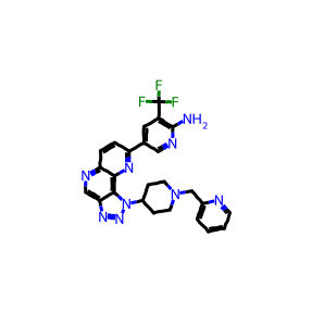 Nc1ncc(-c2ccc3ncc4nnn(C5CCN(Cc6ccccn6)CC5)c4c3n2)cc1C(F)(F)F